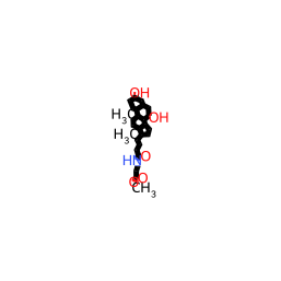 COC(=O)CCNC(=O)CCCC1CCC2C3C(O)CC4C[C@H](O)CCC4(C)C3CCC12C